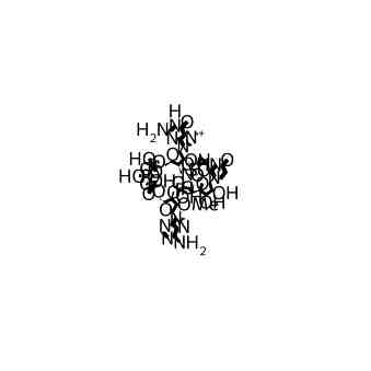 CO[C@@H]1[C@H](OP(=O)(O)OC[C@H]2O[C@@H](n3ccc(=O)[nH]c3=O)[C@H](O)[C@@H]2O)[C@@H](COP(=O)(O)OP(=O)(O)OP(=O)(O)OC[C@H]2O[C@@H](n3c[n+](C)c4c(=O)[nH]c(N)nc43)[C@H](O)[C@@H]2CNS(=O)(=O)C2CC2)O[C@H]1n1cnc2c(N)ncnc21